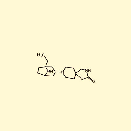 CCC12CCC(CC(N3CCC4(CC3)CNC(=O)C4)C1)N2